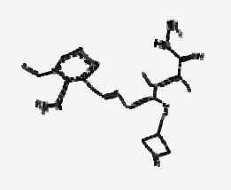 C=Cn1cccc(/C=C/C=C(SC2CNC2)\C(C)=C(/C)C(=N)NN)/c1=N/N